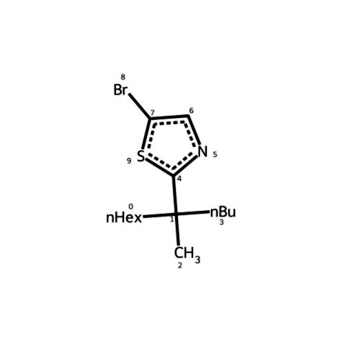 CCCCCCC(C)(CCCC)c1ncc(Br)s1